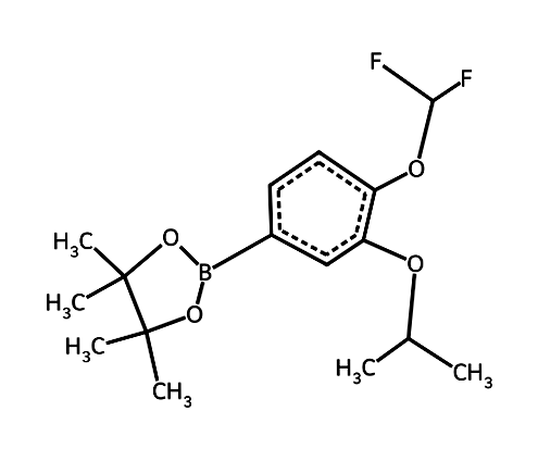 CC(C)Oc1cc(B2OC(C)(C)C(C)(C)O2)ccc1OC(F)F